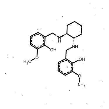 COc1cccc(CN[C@H]2CCCC[C@@H]2NCc2cccc(OC)c2O)c1O